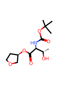 C[C@H](O)[C@H](NC(=O)OC(C)(C)C)C(=O)O[C@@H]1CCOC1